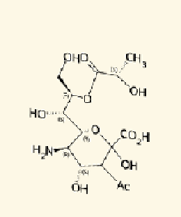 CC(=O)C1[C@H](O)[C@@H](N)[C@H]([C@H](O)[C@@H](CO)OC(=O)[C@H](C)O)OC1(O)C(=O)O